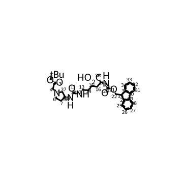 CC(C)(C)OC(=O)CN1CC[C@@H](NC(=O)NCCCCC(NC(=O)OCC2c3ccccc3-c3ccccc32)C(=O)O)C1